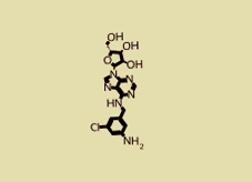 Nc1cc(Cl)cc(CNc2ncnc3c2ncn3[C@@H]2O[C@H](CO)[C@@H](O)[C@H]2O)c1